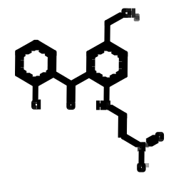 CCc1ccc(N/C=C/[N+](=O)[O-])c(C(=O)c2ccccc2Cl)c1